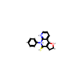 S=c1c2c(c3cccnc3n1-c1ccccc1)OCC2